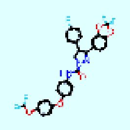 O=C(Nc1ccc(Oc2ccc(OC(F)F)cc2)cc1)N1CC(c2ccc(F)cc2)C(c2ccc3c(c2)OC(F)(F)O3)=N1